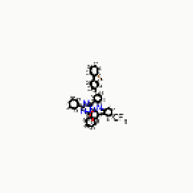 FC(F)(F)c1ccc2c(c1)c1ccccc1n2-c1ccc(-c2ccc3c(c2)sc2ccccc23)cc1-c1nc(-c2ccccc2)nc(-c2ccccc2)n1